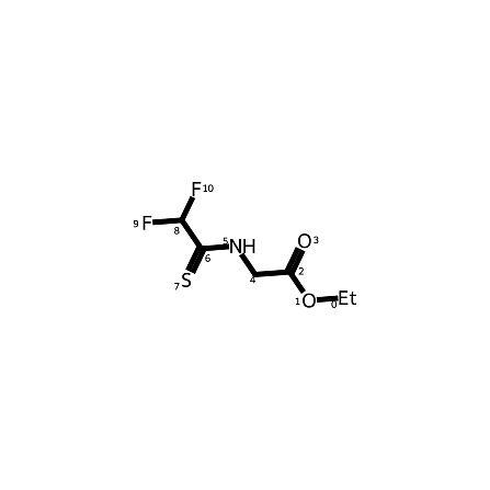 CCOC(=O)CNC(=S)C(F)F